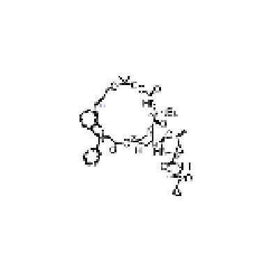 C=CC1C[C@]1(NC(=O)[C@@H]1C[C@@H]2CN1C(=O)[C@H](C(C)(C)C)NC(=O)OCC(C)(C)CC/C=C/c1cccc3c1cc(n3-c1ccccc1)C(=O)O2)C(=O)NS(=O)(=O)C1CC1